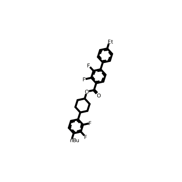 CCCCc1ccc(C2CCC(OC(=O)c3ccc(-c4ccc(CC)cc4)c(F)c3F)CC2)c(F)c1F